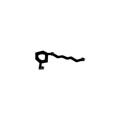 CCCc1cccc(OCCCCCBr)c1